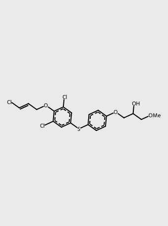 COCC(O)COc1ccc(Sc2cc(Cl)c(OC/C=C/Cl)c(Cl)c2)cc1